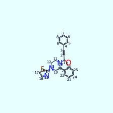 O=C(C#Cc1ccccc1)N1CCN(c2nccs2)CC1c1ccccc1